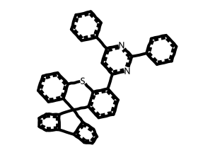 c1ccc(-c2cc(-c3cccc4c3Sc3ccccc3C43c4ccccc4-c4ccccc43)nc(-c3ccccc3)n2)cc1